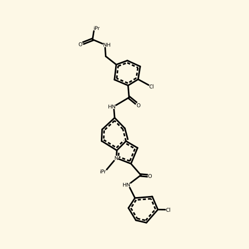 CC(C)C(=O)NCc1ccc(Cl)c(C(=O)Nc2ccc3c(c2)cc(C(=O)Nc2cccc(Cl)c2)n3C(C)C)c1